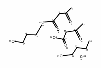 CC(=O)CC(=O)[O-].CC(=O)CC(=O)[O-].CCCC[O-].CCCC[O-].[Zr+4]